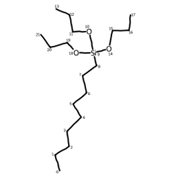 CCCCCCCCC[Si](OCCC)(OCCC)OCCC